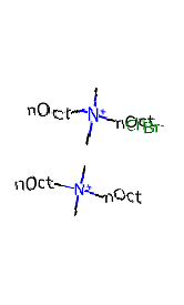 CCCCCCCC[N+](C)(C)CCCCCCCC.CCCCCCCC[N+](C)(C)CCCCCCCC.[Br-].[Cl-]